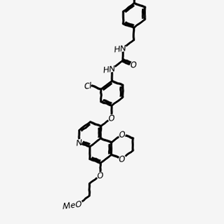 COCCOc1cc2nccc(Oc3ccc(NC(=O)NCc4ccc(F)cc4)c(Cl)c3)c2c2c1OCCO2